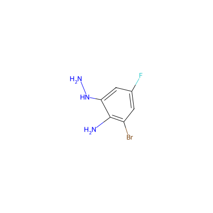 NNc1cc(F)cc(Br)c1N